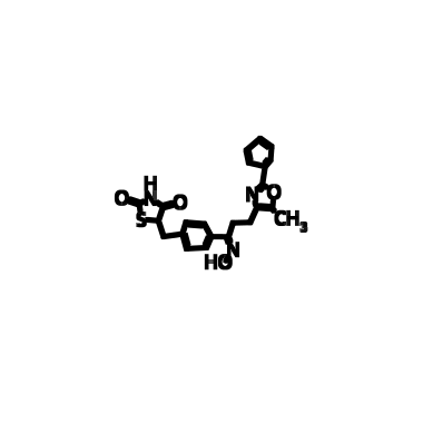 Cc1oc(-c2ccccc2)nc1CCC(=NO)c1ccc(CC2SC(=O)NC2=O)cc1